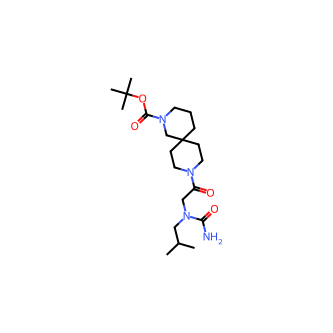 CC(C)CN(CC(=O)N1CCC2(CCCN(C(=O)OC(C)(C)C)C2)CC1)C(N)=O